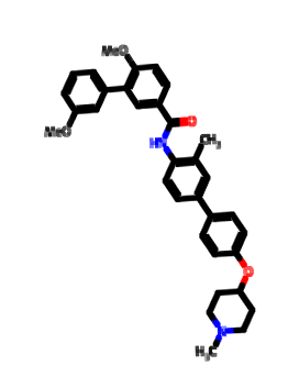 COc1cccc(-c2cc(C(=O)Nc3ccc(-c4ccc(OC5CCN(C)CC5)cc4)cc3C)ccc2OC)c1